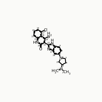 CN(C)C1CCN(c2ccc3[nH]c(-c4c(N)c5c(Cl)cccc5[nH]c4=O)nc3c2)C1